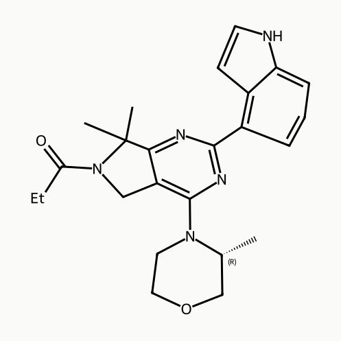 CCC(=O)N1Cc2c(N3CCOC[C@H]3C)nc(-c3cccc4[nH]ccc34)nc2C1(C)C